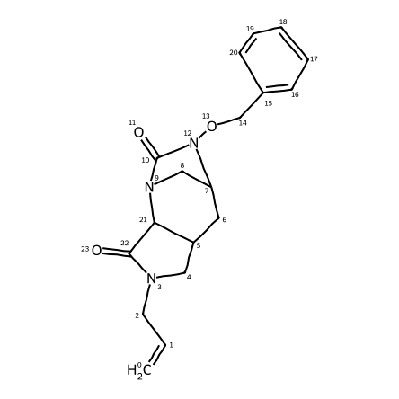 C=CCN1CC2CC3CN(C(=O)N3OCc3ccccc3)C2C1=O